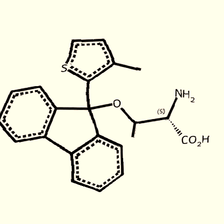 Cc1ccsc1C1(OC(C)[C@H](N)C(=O)O)c2ccccc2-c2ccccc21